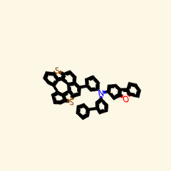 c1ccc(-c2cccc(N(c3cccc(-c4cc5sc6cccc7c6c5c5c4ccc4sc6cccc-7c6c45)c3)c3ccc4c(c3)oc3ccccc34)c2)cc1